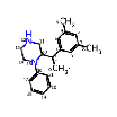 [CH2]C(c1cc(C)cc(C)c1)C1CNCCN1c1ccccc1